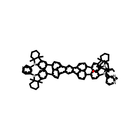 C=N/C=C\C(=C/C)N1c2ccc(-c3ccc4c5cc6c(cc5c5ccc(-c7ccc8c(c7)C7(C)CCCCC7(C)N8c7ccncc7)c3c45)c3ccc(-c4ccc5c(c4)C4(C)CCCCC4(C)N5c4ccncc4)c4c(-c5ccc7c(c5)C5(C)CCCCC5(C)N7c5ccncc5)ccc6c43)cc2C2(C)CCCCC12C